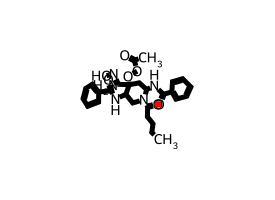 CCCCC(=O)N1CC(NC(=O)c2ccccc2)C(OOC(C)=O)(C(N)=NO)CC1NC(=O)c1ccccc1